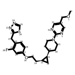 COCc1cnc(N2CCC([C@H]3C[C@H]3CCOc3ccc(Cc4nncs4)c(F)c3)CC2)nc1